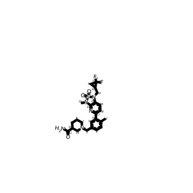 Cc1ccc(CN2CCCC(C(N)=O)C2)cc1-c1ccc2c(n1)N(C)S(=O)(=O)N2CC1CC1(F)F